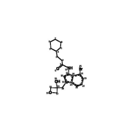 O=C(CCC1CCCCC1)Nc1cn(CC2(O)COC2)c2cccc(Br)c12